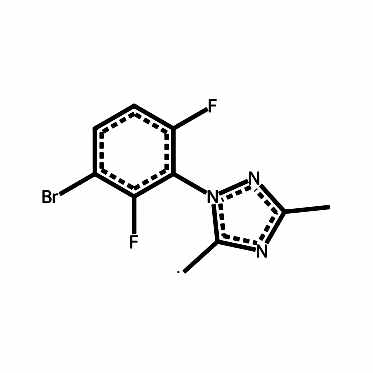 [CH2]c1nc(C)nn1-c1c(F)ccc(Br)c1F